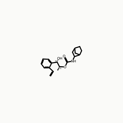 C=Cc1ccccc1[C@H](O)[C@H](C)OC(=O)NC1CC2CCC1C2